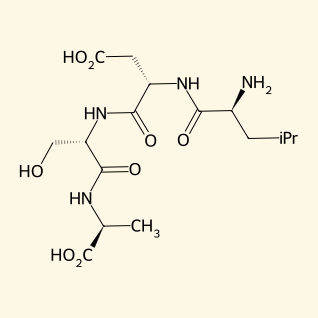 CC(C)C[C@H](N)C(=O)N[C@@H](CC(=O)O)C(=O)N[C@@H](CO)C(=O)N[C@@H](C)C(=O)O